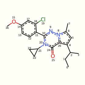 CCC(C)c1cc(C)n2nc(-c3ccc(OC)cc3Cl)n(C3CC3)c(=O)c12